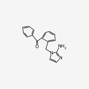 Nc1nccn1Cc1ccccc1C(=O)c1ccccc1